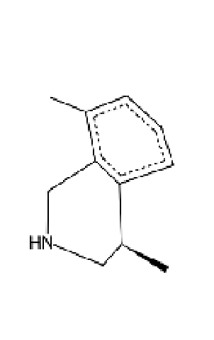 Cc1cccc2c1CNC[C@@H]2C